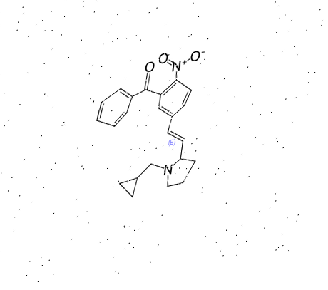 O=C(c1ccccc1)c1cc(/C=C/C2CCCN2CC2CC2)ccc1[N+](=O)[O-]